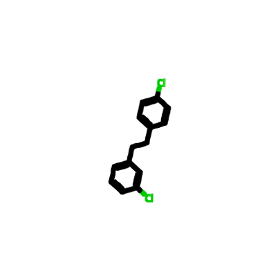 Clc1ccc(CCc2cccc(Cl)c2)cc1